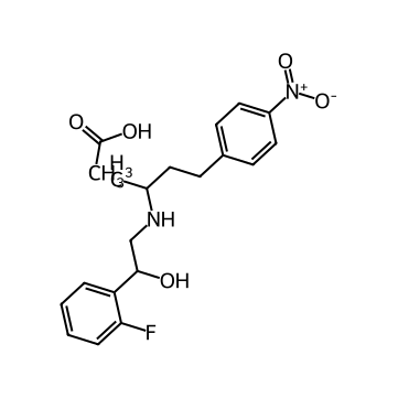 CC(=O)O.CC(CCc1ccc([N+](=O)[O-])cc1)NCC(O)c1ccccc1F